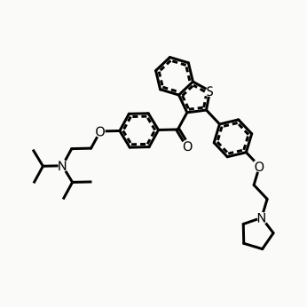 CC(C)N(CCOc1ccc(C(=O)c2c(-c3ccc(OCCN4CCCC4)cc3)sc3ccccc23)cc1)C(C)C